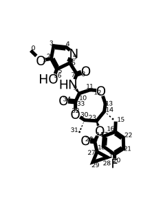 COc1ccnc(C(=O)N[C@H]2COC[C@H](Cc3ccc(F)cc3)[C@@H](OC(=O)C3CC3)[C@H](C)OC2=O)c1O